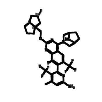 Cc1cc(N)nc(-c2c(C(F)(F)F)cc3c(N4CC5CCC(C4)N5)nc(OC[C@@]45CCCN4C[C@H](F)C5)nc3c2F)c1C(F)(F)F